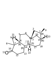 C[C@@H]1C[C@]23CC[C@H]4C(C)(C)C(=O)CC[C@]4(C)[C@H]2CC[C@@H]1C3